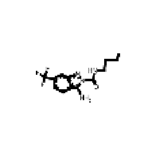 CCCCNC(=O)n1nc2cc(C(F)(F)F)ccc2c1N